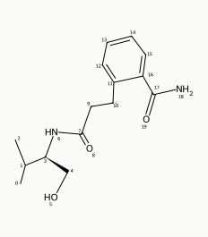 CC(C)[C@H](CO)NC(=O)C[CH]c1ccccc1C(N)=O